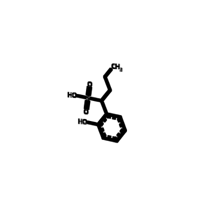 CCCC(c1ccccc1O)S(=O)(=O)O